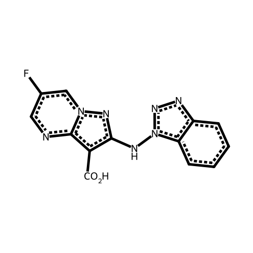 O=C(O)c1c(Nn2nnc3ccccc32)nn2cc(F)cnc12